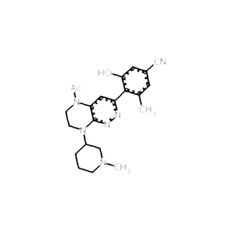 CC(=O)N1CCN(C2CCCN(C)C2)c2nnc(-c3c(C)cc(C#N)cc3O)cc21